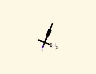 BC(C)(I)C#CC